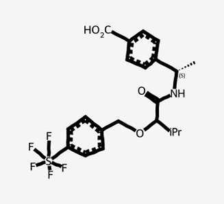 CC(C)C(OCc1ccc(S(F)(F)(F)(F)F)cc1)C(=O)N[C@@H](C)c1ccc(C(=O)O)cc1